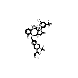 C=CC(=O)N1Cc2nc(CN3C[C@H]4CC(=O)N(c5cc(C(F)(F)F)cc(C)n5)[C@@H]4C(=O)N(C)c4cccc(Cl)c43)cn2C[C@@H]1C(F)(F)F